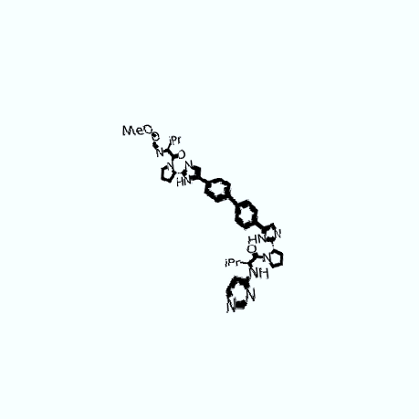 COO/C=N\[C@H](C(=O)N1CCC[C@H]1c1ncc(-c2ccc(-c3ccc(-c4cnc([C@@H]5CCCN5C(=O)[C@@H](Nc5ccncn5)C(C)C)[nH]4)cc3)cc2)[nH]1)C(C)C